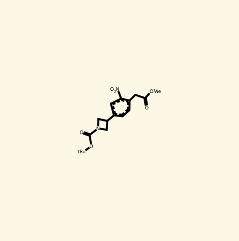 COC(=O)Cc1ccc(C2CN(C(=O)OC(C)(C)C)C2)cc1[N+](=O)[O-]